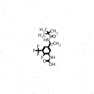 C[C@@H](N[S+]([O-])C(C)(C)C)c1cc(NC(=O)O)c(F)c(C(F)(F)F)c1